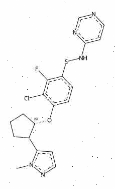 Cn1nccc1C1CCC[C@@H]1Oc1ccc(SNc2ccncn2)c(F)c1Cl